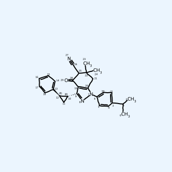 CC(C)c1ccc(-n2nc([C@@H]3C[C@H]3c3ccccc3)c3c2CC(C)(C)C(C#N)C3=O)cc1